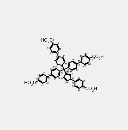 O=C(O)c1ccc(C2=CCC(C(C3=CC(c4ccc(C(=O)O)cc4)C=C3)(c3ccc(-c4ccc(C(=O)O)cc4)cc3)c3ccc(-c4ccc(C(=O)O)cc4)cc3)C=C2)cc1